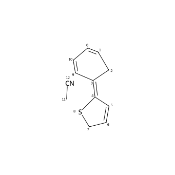 C1=CCC(=C2C=CCS2)C=C1.CC#N